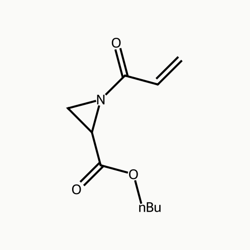 C=CC(=O)N1CC1C(=O)OCCCC